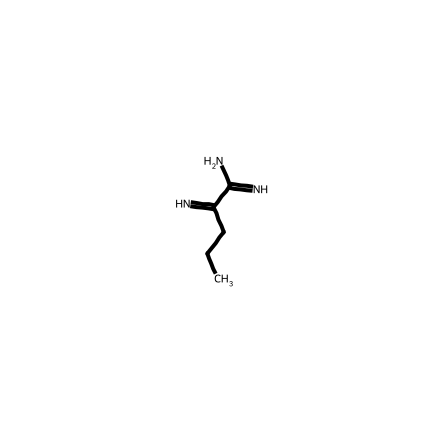 CCCC(=N)C(=N)N